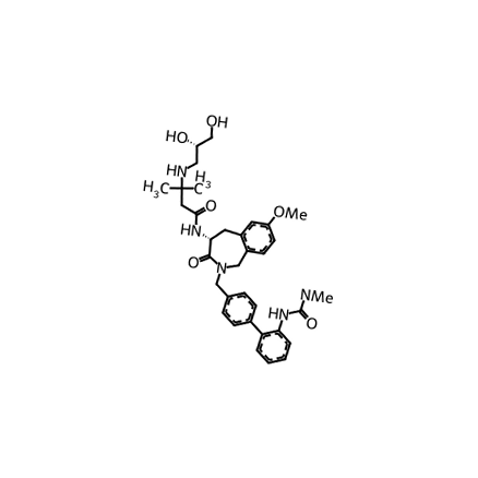 CNC(=O)Nc1ccccc1-c1ccc(CN2Cc3ccc(OC)cc3C[C@@H](NC(=O)CC(C)(C)NC[C@H](O)CO)C2=O)cc1